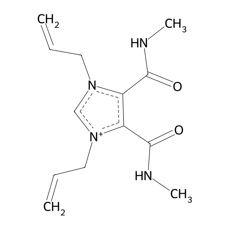 C=CCn1c[n+](CC=C)c(C(=O)NC)c1C(=O)NC